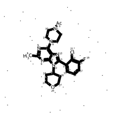 CC(=O)N1CCN(c2nc(C)nc3c2nc(-c2cccc(F)c2Cl)n3C2CCOCC2)CC1